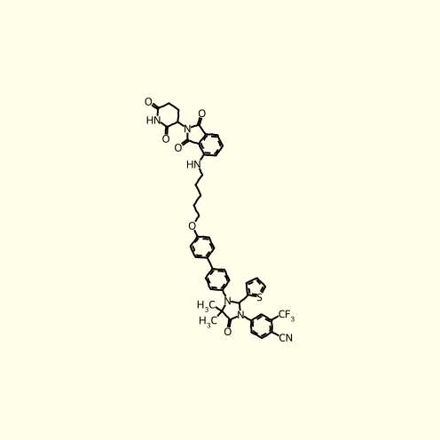 CC1(C)C(=O)N(c2ccc(C#N)c(C(F)(F)F)c2)C(c2cccs2)N1c1ccc(-c2ccc(OCCCCCNc3cccc4c3C(=O)N(C3CCC(=O)NC3=O)C4=O)cc2)cc1